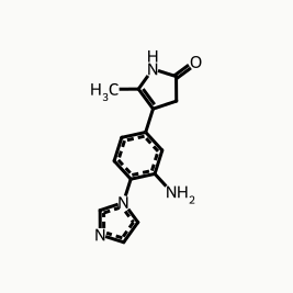 CC1=C(c2ccc(-n3ccnc3)c(N)c2)CC(=O)N1